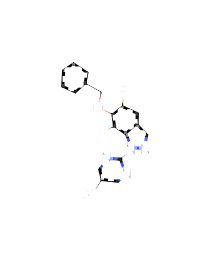 Fc1cc2cnn(-c3ncc(Br)cn3)c2c(F)c1OCc1ccccc1